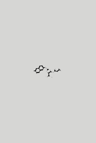 CC(C)=CC(=O)Nc1sc(Nc2ccc3cc(F)ccc3c2)nc1C(N)=O